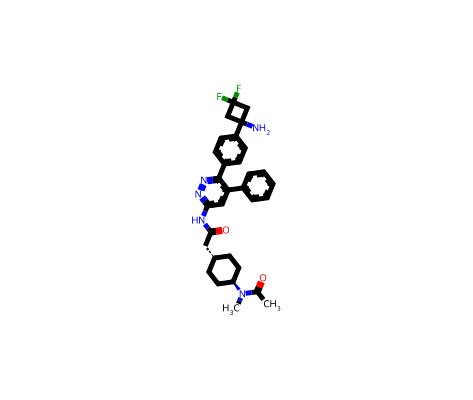 CC(=O)N(C)[C@H]1CC[C@H](CC(=O)Nc2cc(-c3ccccc3)c(-c3ccc(C4(N)CC(F)(F)C4)cc3)nn2)CC1